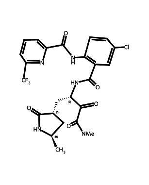 CNC(=O)C(=O)[C@H](C[C@@H]1C[C@@H](C)NC1=O)NC(=O)c1cc(Cl)ccc1NC(=O)c1cccc(C(F)(F)F)n1